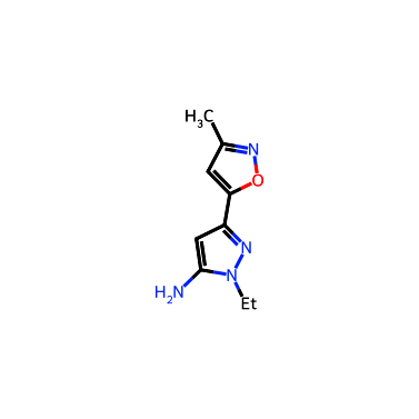 CCn1nc(-c2cc(C)no2)cc1N